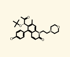 CC(=O)[C@@H](OC(C)(C)C)c1c(C)cc2c(ccc(=O)n2CCN2CCOCC2)c1-c1ccc(Cl)cc1